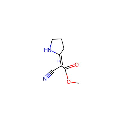 COC(=O)/C(C#N)=C1\CCCN1